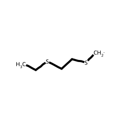 [CH2]SCCSCC